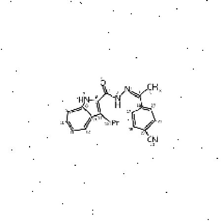 CC(=NNC(=O)c1[nH]c2ccccc2c1C(C)C)c1ccc(C#N)cc1